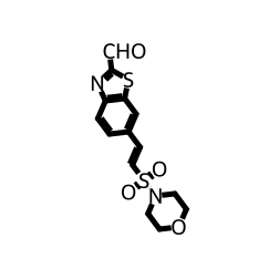 O=Cc1nc2ccc(/C=C/S(=O)(=O)N3CCOCC3)cc2s1